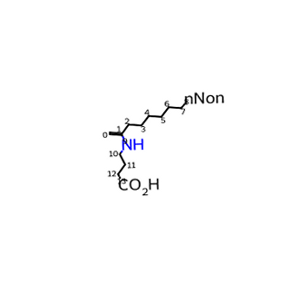 C=C(CCCCCCCCCCCCCCC)NCCCC(=O)O